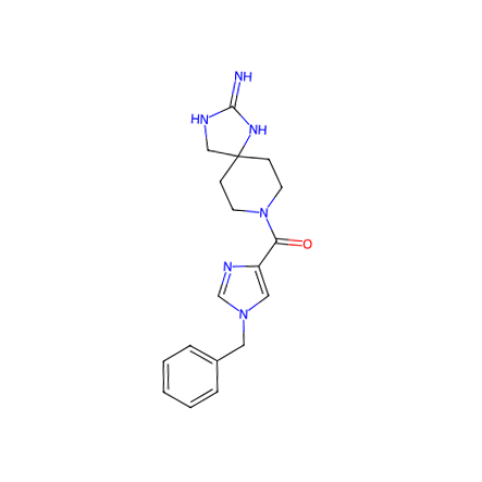 N=C1NCC2(CCN(C(=O)c3cn(Cc4ccccc4)cn3)CC2)N1